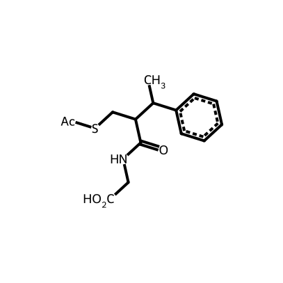 CC(=O)SCC(C(=O)NCC(=O)O)C(C)c1ccccc1